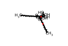 CCCCCCCCCCCCCCCCS(=O)(=O)CC(CO[C@@H]1O[C@H](CO)[C@H](O)[C@H](O)[C@H]1O)CS(=O)(=O)CCCCCCCCCCCCCCCC